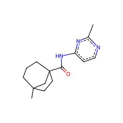 Cc1nccc(NC(=O)C23CCCC(C)(CC2)C3)n1